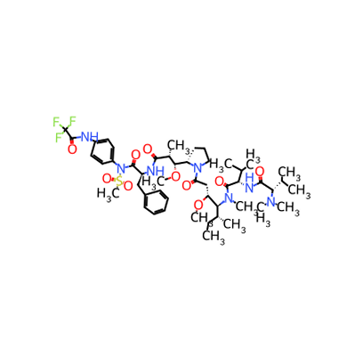 CC[C@@H](C)[C@@H]([C@@H](CC(=O)N1CCC[C@H]1[C@H](OC)[C@@H](C)C(=O)N[C@@H](Cc1ccccc1)C(=O)N(c1ccc(NC(=O)C(F)(F)F)cc1)S(C)(=O)=O)OC)N(C)C(=O)[C@@H](NC(=O)[C@H](C(C)C)N(C)C)C(C)C